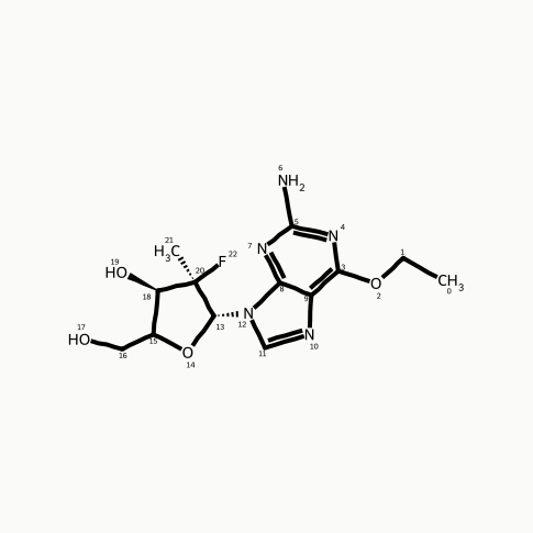 CCOc1nc(N)nc2c1ncn2[C@@H]1OC(CO)[C@@H](O)[C@@]1(C)F